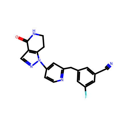 N#Cc1cc(F)cc(Cc2cc(-n3ncc4c3CCNC4=O)ccn2)c1